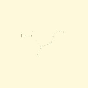 CCCC(C)CC(C(C)=O)C(=O)O